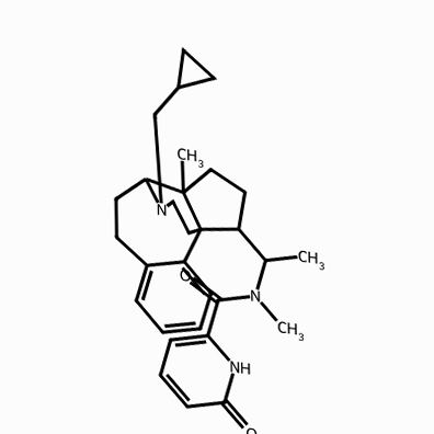 CC(C1CCC2(C)C3CCc4ccccc4C12CCN3CC1CC1)N(C)C(=O)c1cccc(=O)[nH]1